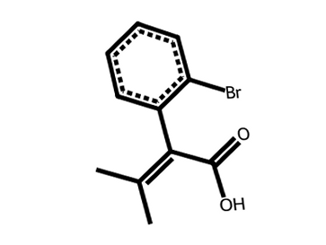 CC(C)=C(C(=O)O)c1ccccc1Br